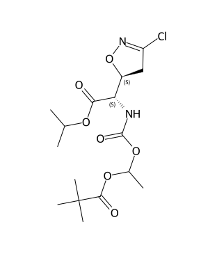 CC(C)OC(=O)[C@@H](NC(=O)OC(C)OC(=O)C(C)(C)C)[C@@H]1CC(Cl)=NO1